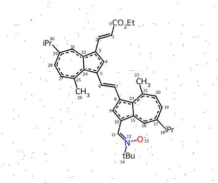 CCOC(=O)/C=C/c1cc(/C=C/c2cc(/C=[N+](\[O-])C(C)(C)C)c3cc(C(C)C)ccc(C)c2-3)c2c(C)ccc(C(C)C)cc1-2